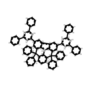 c1ccc(-c2nc(-c3ccccc3)nc(-c3cc4c5c(c3)c3cc(-c6nc(-c7ccccc7)nc(-c7ccccc7)n6)cc6c3n5-c3c(cccc3C6(c3ccccc3)c3ccccc3)C4(c3ccccc3)c3ccccc3)n2)cc1